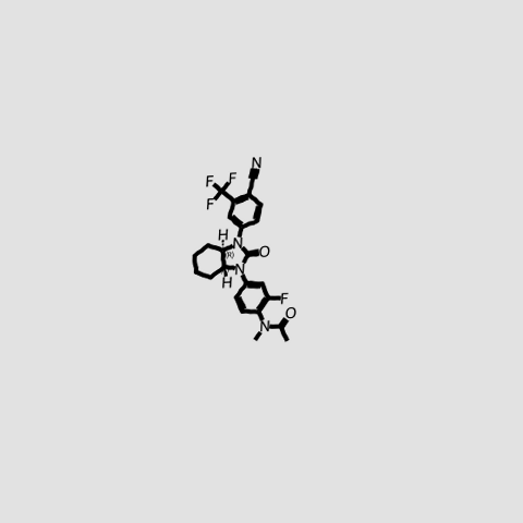 CC(=O)N(C)c1ccc(N2C(=O)N(c3ccc(C#N)c(C(F)(F)F)c3)[C@@H]3CCCC[C@H]32)cc1F